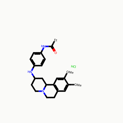 CCC(=O)Nc1ccc(NC2CCN3CCc4cc(OC)c(OC)cc4C3C2)cc1.Cl